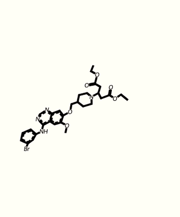 CCOC(=O)CC(CC(=O)OCC)N1CCC(COc2cc3ncnc(Nc4cccc(Br)c4)c3cc2OC)CC1